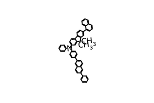 CC1(C)c2cc(-c3cccc4ccccc34)ccc2-c2ccc(N(c3ccccc3)c3ccc(-c4ccc5cc(-c6ccccc6)ccc5c4)cc3)cc21